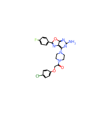 Nc1nc(N2CCN(C(=O)COc3ccc(Cl)cc3)CC2)c2nc(-c3ccc(F)cc3)oc2n1